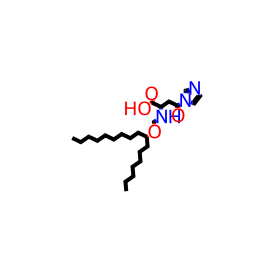 CCCCCCCCCC(CCCCCCC)OCNC(CC(=O)n1ccnc1)C(=O)O